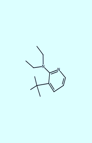 CCN(CC)c1ncccc1C(C)(C)C